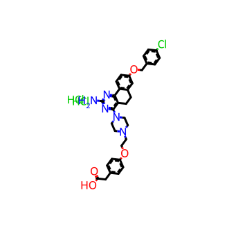 Cl.Cl.Nc1nc2c(c(N3CCN(CCOc4ccc(CC(=O)O)cc4)CC3)n1)CCc1cc(OCc3ccc(Cl)cc3)ccc1-2